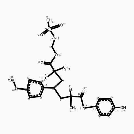 CCC(C)(CC(CC(C)(C)C(=O)OCNS(C)(=O)=O)c1ccc(OC(C)(C)C)cc1)C(=O)Nc1ccc(O)cc1